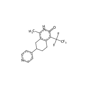 Cc1[nH]c(=O)c(C(F)(F)C(F)(F)F)c2c1CC(c1ccncc1)CC2